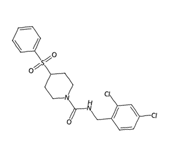 O=C(NCc1ccc(Cl)cc1Cl)N1CCC(S(=O)(=O)c2ccccc2)CC1